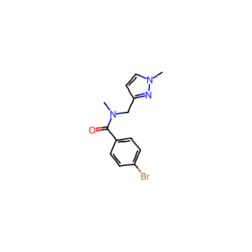 CN(Cc1ccn(C)n1)C(=O)c1ccc(Br)cc1